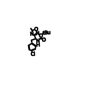 Cc1nc(C(Cc2ccc(Cl)cc2)NC(=O)OC(C)(C)C)no1